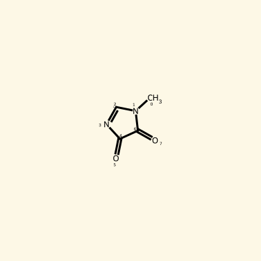 CN1[C]=NC(=O)C1=O